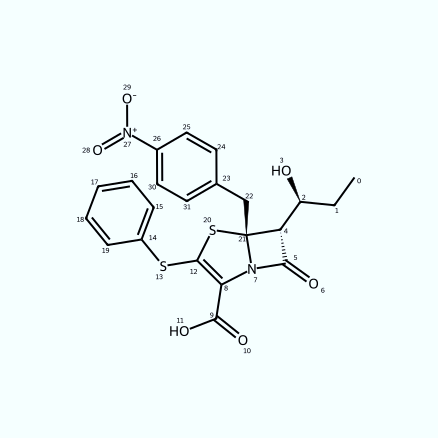 CC[C@H](O)[C@@H]1C(=O)N2C(C(=O)O)=C(Sc3ccccc3)S[C@]12Cc1ccc([N+](=O)[O-])cc1